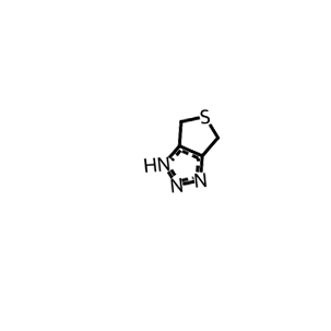 C1SCc2[nH]nnc21